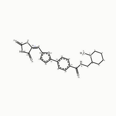 CN1CCCCC1CNC(=O)c1ccc(-c2ccc(/C=C3/SC(=S)NC3=O)o2)cc1